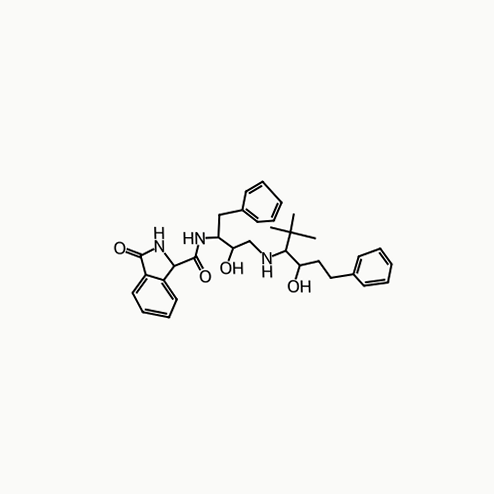 CC(C)(C)C(NCC(O)C(Cc1ccccc1)NC(=O)C1NC(=O)c2ccccc21)C(O)CCc1ccccc1